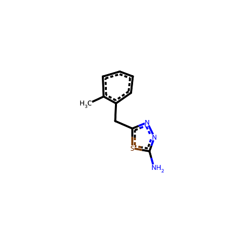 Cc1ccccc1Cc1nnc(N)s1